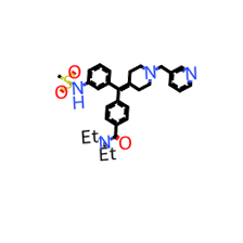 CCN(CC)C(=O)c1ccc(C(=C2CCN(Cc3cccnc3)CC2)c2cccc(NS(C)(=O)=O)c2)cc1